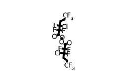 O=C(OOC(=O)C(F)(F)C(F)(Cl)CCC(F)(F)F)C(F)(F)C(F)(Cl)CCC(F)(F)F